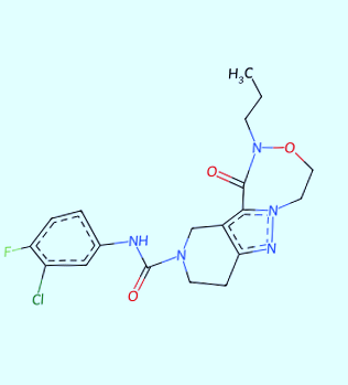 CCCN1OCCn2nc3c(c2C1=O)CN(C(=O)Nc1ccc(F)c(Cl)c1)CC3